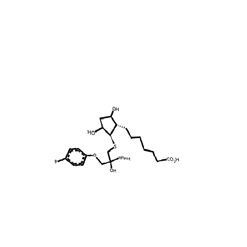 CCCCCC(O)(COc1ccc(F)cc1)CS[C@H]1C(O)CC(O)[C@@H]1CCCCCCC(=O)O